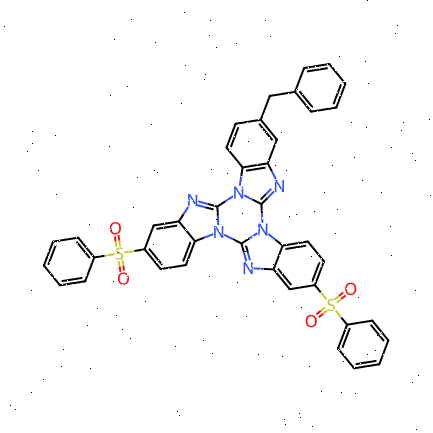 O=S(=O)(c1ccccc1)c1ccc2c(c1)nc1n2c2nc3cc(Cc4ccccc4)ccc3n2c2nc3cc(S(=O)(=O)c4ccccc4)ccc3n21